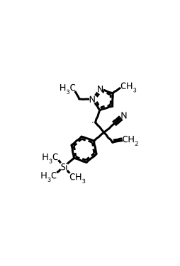 C=CC(C#N)([CH]c1cc(C)nn1CC)c1ccc([Si](C)(C)C)cc1